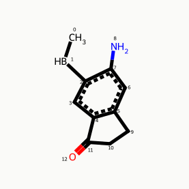 CBc1cc2c(cc1N)CCC2=O